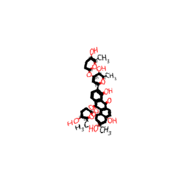 C[C@@H]1O[C@@H](O[C@@H]2C[C@H](c3ccc4c(c3O)C(=O)C3=C(C4=O)[C@@]4(O[C@H]5CC[C@H](O)[C@H](C)O5)C(=O)C[C@](C)(O)C[C@@]4(O)C=C3)O[C@H](C)[C@H]2O)CC[C@@H]1O